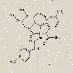 CCCOC(CN1C(=O)C(NC(=O)Nc2ccc(C)cc2)(C(C(N)=O)c2ccc(C)cc2)c2ccccc21)OCCC